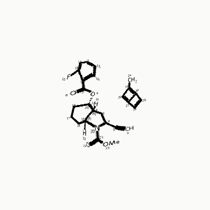 C#CC1C[C@H]2[C@@H](OC(=O)c3ccccc3F)CCC[C@H]2N1C(=O)OC.Cc1cc2ccc1-2